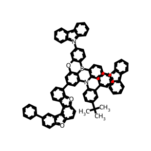 CC(C)(C)c1ccc(N2c3cc(-n4c5ccccc5c5ccccc54)ccc3B3c4ccc(-n5c6ccccc6c6ccccc65)cc4Oc4cc(-c5cccc6c5oc5ccc7oc8ccc(-c9ccccc9)cc8c7c56)cc2c43)c(-c2ccccc2)c1